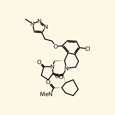 CNC(=O)[C@H]1CCCC[C@H]1C(=O)N1CCc2c(Cl)ccc(OCCc3cn(C)nn3)c2[C@H]1CN1C(=O)CCC1=O